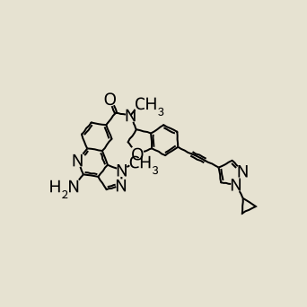 CN(C(=O)c1ccc2nc(N)c3cnn(C)c3c2c1)C1COc2cc(C#Cc3cnn(C4CC4)c3)ccc21